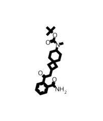 CN(C(=O)OC(C)(C)C)C1CCC2(CC1)CC(CC(=O)c1ccccc1C(N)=O)C2